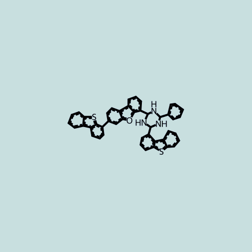 c1ccc(C2NC(c3cccc4c3oc3cc(-c5cccc6c5sc5ccccc56)ccc34)NC(c3cccc4sc5ccccc5c34)N2)cc1